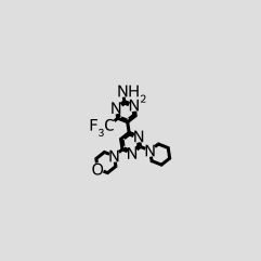 Nc1ncc(-c2cc(N3CCOCC3)nc(N3CCCCC3)n2)c(C(F)(F)F)n1